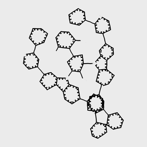 N#Cc1c(-n2c3cc(-c4ccnc(-c5ccccc5)c4)ccc3c3ccc(-c4ccnc(-c5ccccc5)c4)cc32)cc(-c2c(C(F)(F)F)cccc2C(F)(F)F)cc1-n1c2cc(-c3ccnc(-c4ccccc4)c3)ccc2c2ccc(-c3ccnc(-c4ccccc4)c3)cc21